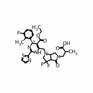 CCOC(=O)C1=C(CN2CC(F)(F)C3C(=O)N(CC(C)C(=O)O)CC32)NC(c2nccs2)=N[C@H]1c1cccc(F)c1C